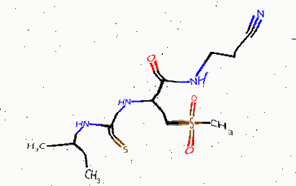 CC(C)NC(=S)NC(CS(C)(=O)=O)C(=O)NCCC#N